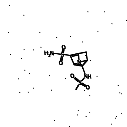 CN1C2=C(S(N)(=O)=O)C=C(NS(C)(=O)=O)C1C2